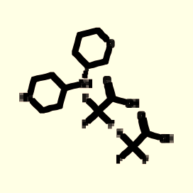 C1COC[C@H](NC2CCNCC2)C1.O=C(O)C(F)(F)F.O=C(O)C(F)(F)F